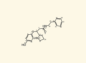 O=C(CC(Sc1ccc(O)cc1)C1CCCN1)NCCc1ccccc1